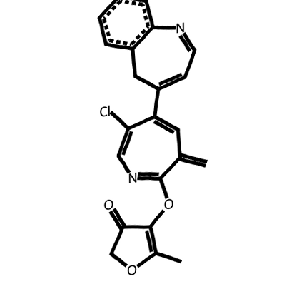 C=C1C=C(C2=CC=Nc3ccccc3C2)C(Cl)=CN=C1OC1=C(C)OCC1=O